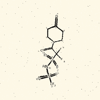 O=C1CCN(C(=O)C(F)(F)S(=O)(=O)NS(=O)(=O)C(F)(F)F)CC1